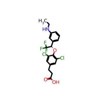 CCNc1cccc([C@H](Oc2c(Cl)cc(CCC(=O)O)cc2Cl)C(F)(F)F)c1